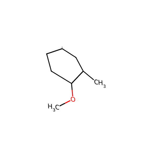 COC1CC[CH]CC1C